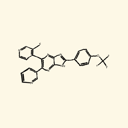 Fc1cnccc1-c1nc2nc(-c3ccc(OC(F)(F)F)cc3)[nH]c2nc1-c1cccnc1